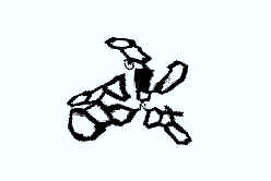 CC1(C)c2ccccc2-c2ccc(N(c3ccc4c(c3)C3(c5ccccc5-c5ccccc53)c3ccccc3-4)c3cc(-c4ccccc4)c4c(c3)oc3c5ccccc5ccc34)cc21